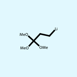 [Li][CH2]CC(OC)(OC)OC